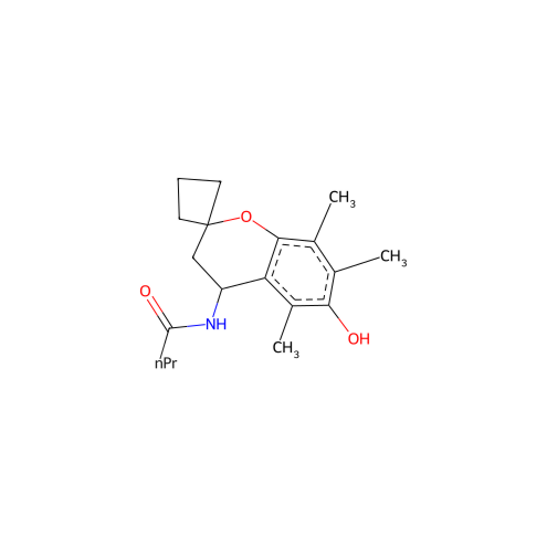 CCCC(=O)NC1CC2(CCC2)Oc2c(C)c(C)c(O)c(C)c21